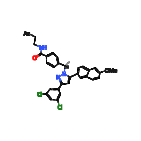 COc1ccc2cc(-c3cc(-c4cc(Cl)cc(Cl)c4)nn3[C@@H](C)c3ccc(C(=O)NCCC(C)=O)cc3)ccc2c1